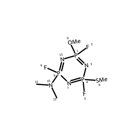 COP1(F)=NP(F)(SC)=NP(F)(N(C)C)=N1